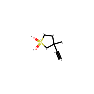 C#CC1(C)CCS(=O)(=O)C1